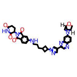 O=C1CCC(N2C(=O)c3ccc(NCCCC4CC(n5cc(-c6cnc7ccc(N8C[C@H]9C[C@@H]8CO9)cc7n6)cn5)C4)cc3C2=O)C(=O)N1